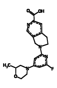 CC1CN(c2cc(F)nc(N3CCc4cc(C(=O)O)ncc4C3)c2)CCO1